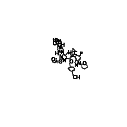 C#Cc1ccc(COc2c(-c3c(C)c(F)cc4c3cnn4C3CCCCO3)c(C3CC3)cc3c(N4C[C@@H]5C[C@H]4CN5C(=O)OC(C)(C)C)nc(O[C@@H]4CCOC4)nc23)cc1